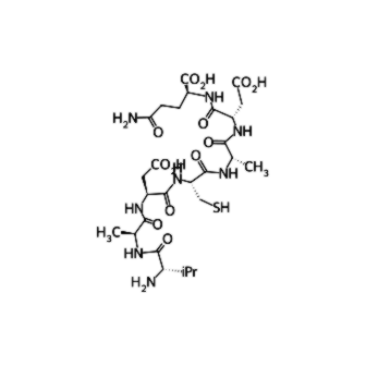 CC(C)[C@H](N)C(=O)N[C@@H](C)C(=O)N[C@@H](CC(=O)O)C(=O)N[C@@H](CS)C(=O)N[C@@H](C)C(=O)N[C@@H](CC(=O)O)C(=O)N[C@@H](CCC(N)=O)C(=O)O